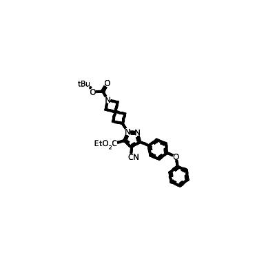 CCOC(=O)c1c(C#N)c(-c2ccc(Oc3ccccc3)cc2)nn1C1CC2(C1)CN(C(=O)OC(C)(C)C)C2